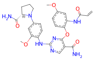 C=CC(=O)Nc1cc(OC)ccc1Oc1nc(Nc2ccc(N3CCC[C@H]3C(N)=O)cc2OC)ncc1C(N)=O